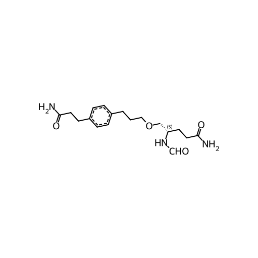 NC(=O)CCc1ccc(CCCOC[C@H](CCC(N)=O)NC=O)cc1